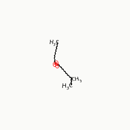 CCCCCCCCCCCCCCCC(=O)OC(=O)CCCCCCCCCCCCCC(C)CCCCC